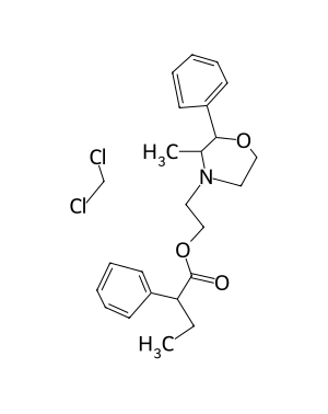 CCC(C(=O)OCCN1CCOC(c2ccccc2)C1C)c1ccccc1.ClCCl